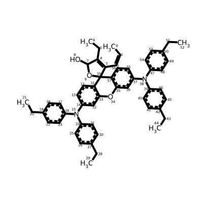 C/C=C\C1=C(CC)C(O)OC12c1ccc(N(c3ccc(CC)cc3)c3ccc(CC)cc3)cc1Oc1cc(N(c3ccc(CC)cc3)c3ccc(CC)cc3)ccc12